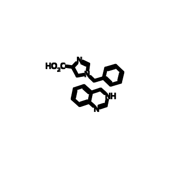 C1=Nc2ccccc2CN1.O=C(O)C1CN(Cc2ccccc2)C=N1